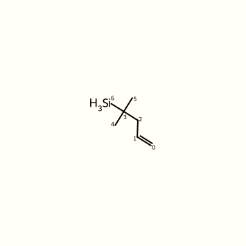 C=CCC(C)(C)[SiH3]